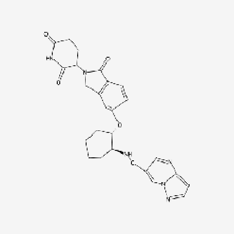 O=C1CCC(N2Cc3cc(O[C@H]4CCCC[C@@H]4NCc4cnc5ccnn5c4)ccc3C2=O)C(=O)N1